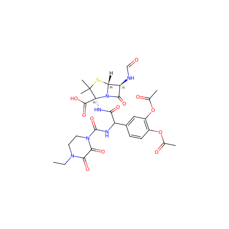 CCN1CCN(C(=O)NC(C(=O)N[C@@]2(C(=O)O)N3C(=O)[C@H](NC=O)[C@H]3SC2(C)C)c2ccc(OC(C)=O)c(OC(C)=O)c2)C(=O)C1=O